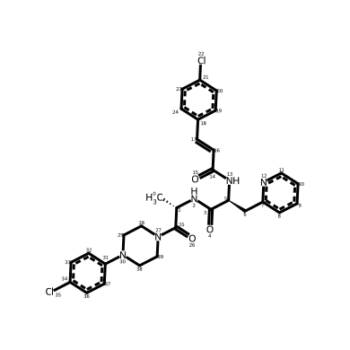 C[C@H](NC(=O)[C@H](Cc1ccccn1)NC(=O)/C=C/c1ccc(Cl)cc1)C(=O)N1CCN(c2ccc(Cl)cc2)CC1